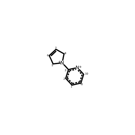 [c]1ccc(N2CC=CC2)nc1